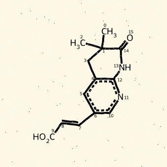 CC1(C)Cc2cc(C=CC(=O)O)cnc2NC1=O